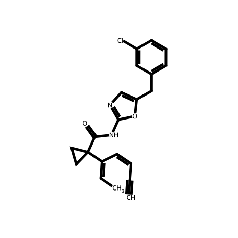 C#C/C=C\C(=C/C)C1(C(=O)Nc2ncc(Cc3cccc(Cl)c3)o2)CC1